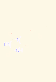 O=C(CS)OCCn1c(=O)[nH]c(=O)[nH]c1=O